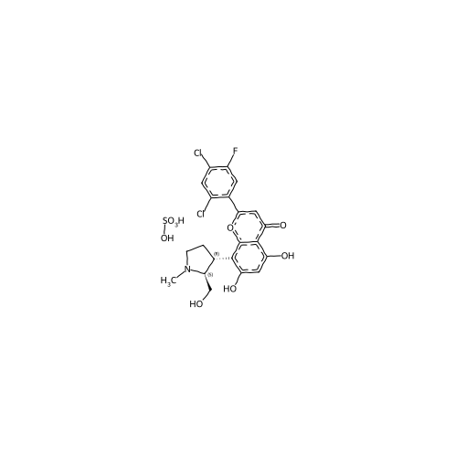 CN1CC[C@H](c2c(O)cc(O)c3c(=O)cc(-c4cc(F)c(Cl)cc4Cl)oc23)[C@H]1CO.O=S(=O)(O)O